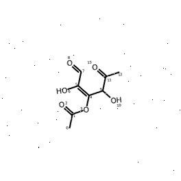 CC(=O)OC(=C(O)C=O)C(O)C(C)=O